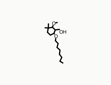 CCCCCCCCOC1CCC(C)(C)C(OC)C1CO